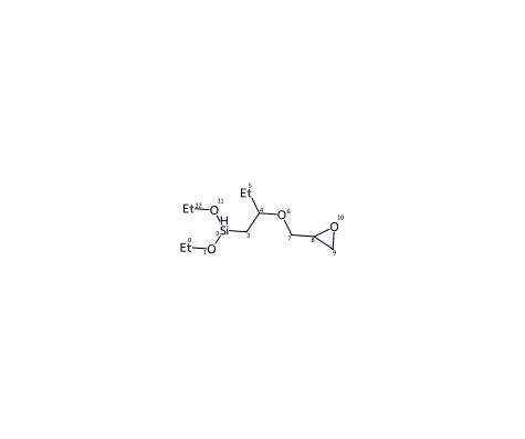 CCO[SiH](CC(CC)OCC1CO1)OCC